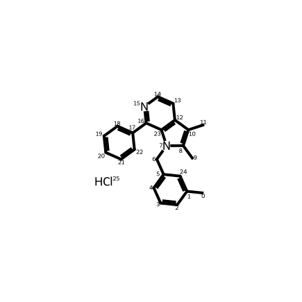 Cc1cccc(Cn2c(C)c(C)c3ccnc(-c4ccccc4)c32)c1.Cl